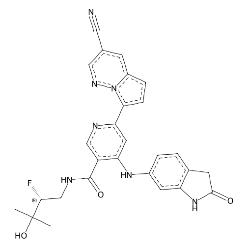 CC(C)(O)[C@H](F)CNC(=O)c1cnc(-c2ccc3cc(C#N)cnn23)cc1Nc1ccc2c(c1)NC(=O)C2